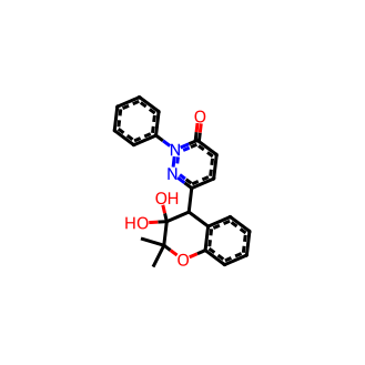 CC1(C)Oc2ccccc2C(c2ccc(=O)n(-c3ccccc3)n2)C1(O)O